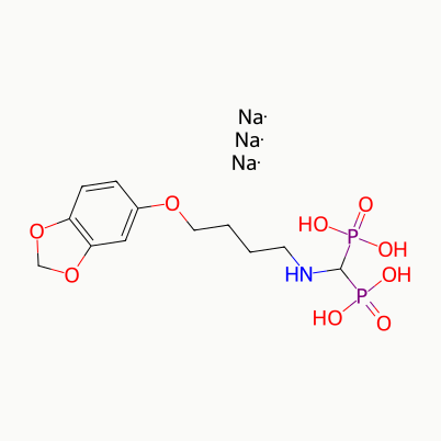 O=P(O)(O)C(NCCCCOc1ccc2c(c1)OCO2)P(=O)(O)O.[Na].[Na].[Na]